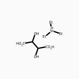 C[CH2][SnH]([CH2]C)[CH2]C.O=C(O)C(O)C(O)C(=O)O